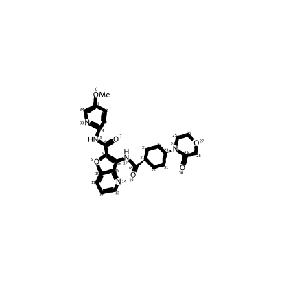 COc1ccc(NC(=O)c2oc3cccnc3c2NC(=O)[C@H]2CC[C@H](N3CCOCC3=O)CC2)nc1